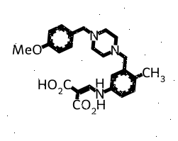 COc1ccc(CN2CCN(Cc3cc(NC=C(C(=O)O)C(=O)O)ccc3C)CC2)cc1